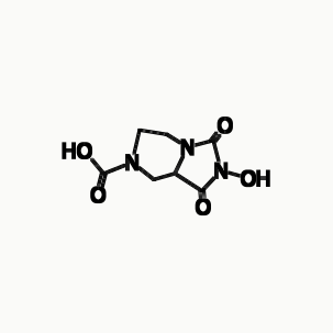 O=C(O)N1CCN2C(=O)N(O)C(=O)C2C1